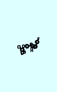 O=C(Nc1cccc(-c2ccc(F)cc2)n1)c1ccc(Oc2cc3c(cc2Cl)CCCO3)cc1